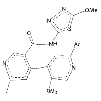 COc1nnc(NC(=O)c2cnc(C)cc2-c2cc(C(C)=O)ncc2OC)s1